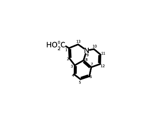 O=C(O)C1=Cc2cccc3c2N(CC=C3)C1